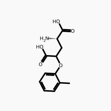 Cc1ccccc1OC(C[C@H](N)C(=O)O)C(=O)O